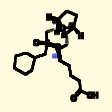 O=C(O)CCC/C=C\C[C@@H]1[C@H](CS(=O)(=O)CC2CCCCC2)[C@@H]2CC[C@H]1O2